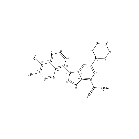 COC(=O)c1cc(N2CCOCC2)cc2c1ncn2-c1ccnc2c(Cl)c(F)ccc12